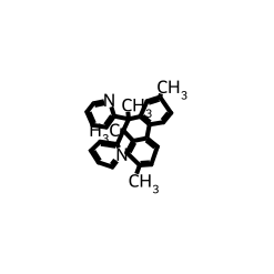 Cc1ccc2c(c1)C(C)(c1ccccn1)C(C)(c1ccccn1)c1cc(C)ccc1-2